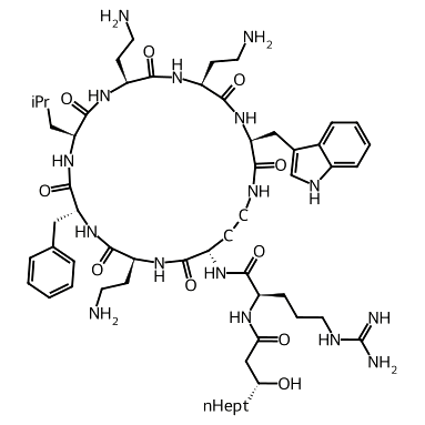 CCCCCCC[C@@H](O)CC(=O)N[C@H](CCCNC(=N)N)C(=O)N[C@H]1CCNC(=O)[C@H](Cc2c[nH]c3ccccc23)NC(=O)[C@H](CCN)NC(=O)[C@H](CCN)NC(=O)[C@H](CC(C)C)NC(=O)[C@@H](Cc2ccccc2)NC(=O)[C@H](CCN)NC1=O